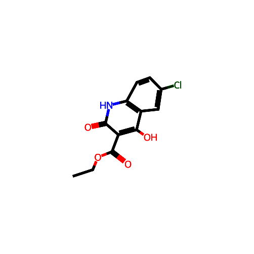 CCOC(=O)c1c(O)c2cc(Cl)ccc2[nH]c1=O